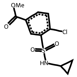 COC(=O)c1ccc(Cl)c(S(=O)(=O)NC2CC2)c1